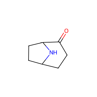 O=C1CCC2CC[C]1N2